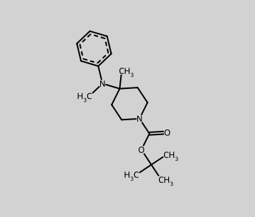 CN(c1ccccc1)C1(C)CCN(C(=O)OC(C)(C)C)CC1